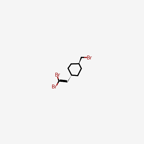 BrC[C@H]1CC[C@H](C=C(Br)Br)CC1